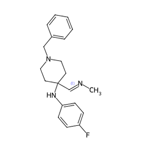 C/N=C/C1(Nc2ccc(F)cc2)CCN(Cc2ccccc2)CC1